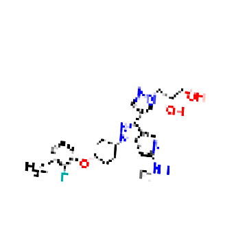 CCNc1cc2c(cn1)c(-c1cnn(C[C@@H](O)CO)c1)nn2[C@H]1CC[C@@H](Oc2cccc(C)c2F)CC1